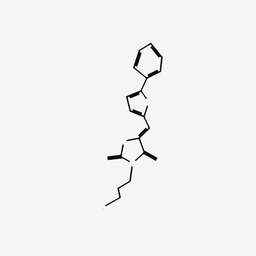 NCCCN1C(=O)C(=Cc2ccc(-c3ccccc3)o2)SC1=S